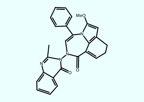 COc1cc2c3n1C(c1ccccc1)=CN(n1c(C)nc4ccccc4c1=O)C(=O)C3=CCC2